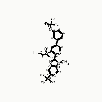 CCS(=O)(=O)c1cc(-c2cccc(OC(F)(F)F)c2)cnc1-c1nc2cc(C(F)(F)F)ncc2n1C